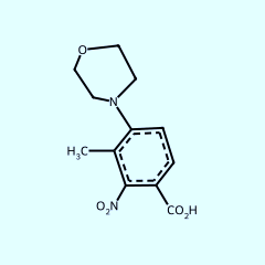 Cc1c(N2CCOCC2)ccc(C(=O)O)c1[N+](=O)[O-]